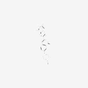 Cc1cn2cc(-c3cc4ccc(N5CCN(C(C)C)CC5)cc4c(=O)o3)nc2c(C)n1